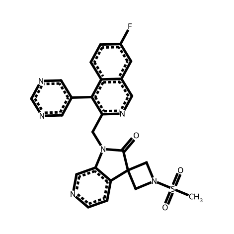 CS(=O)(=O)N1CC2(C1)C(=O)N(Cc1ncc3cc(F)ccc3c1-c1cncnc1)c1cnccc12